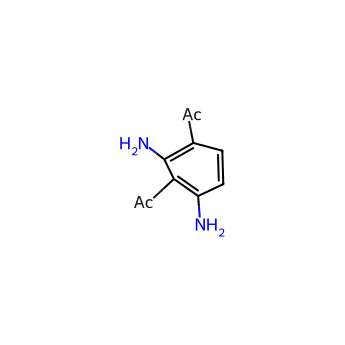 CC(=O)c1ccc(N)c(C(C)=O)c1N